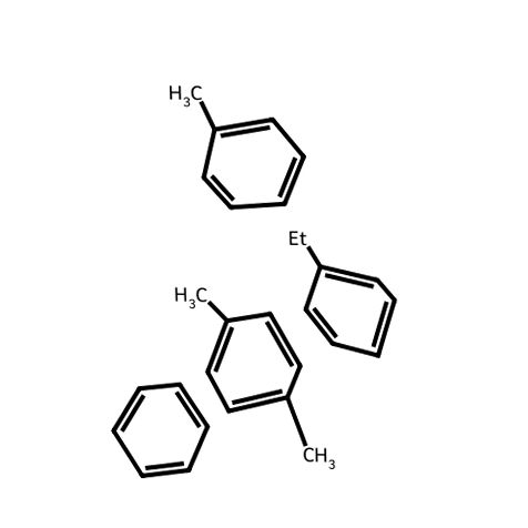 CCc1ccccc1.Cc1ccc(C)cc1.Cc1ccccc1.c1ccccc1